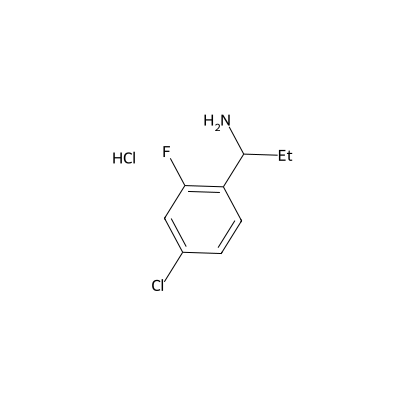 CCC(N)c1ccc(Cl)cc1F.Cl